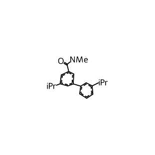 CNC(=O)c1cc(-c2cccc(C(C)C)c2)cc(C(C)C)c1